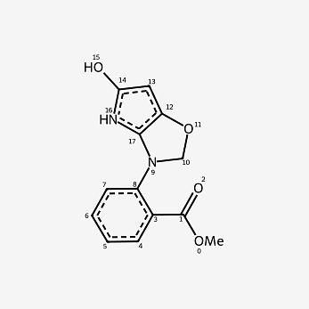 COC(=O)c1ccccc1N1COc2cc(O)[nH]c21